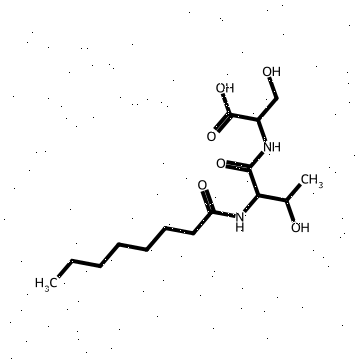 CCCCCCCC(=O)NC(C(=O)NC(CO)C(=O)O)C(C)O